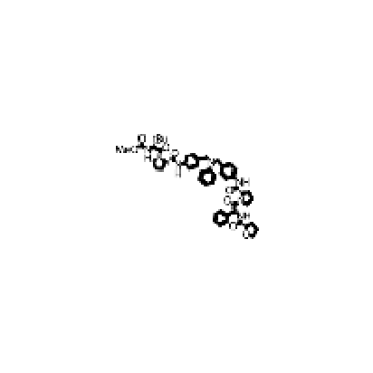 COC(=O)N[C@H](C(=O)N1CCC[C@H]1C(=O)Nc1ccc(CN(Cc2ccc(NC(=O)[C@@H]3CCCN3C(=O)[C@H](NC(=O)[C@H]3CCCO3)c3ccccc3)cc2)c2ccccc2)cc1)C(C)(C)C